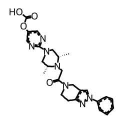 C[C@@H]1CN(c2ncc(OC(=O)O)cn2)C[C@H](C)N1CC(=O)N1CCc2nn(-c3ccccc3)cc2C1